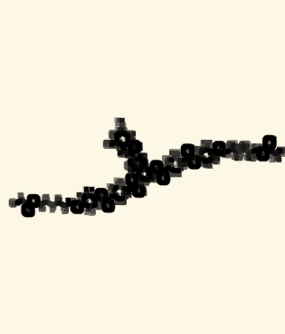 C=CC(=O)OCCCCCCOc1ccc(OC(=O)C2CCC(C(=O)Oc3ccc(OC(=O)C4CCC(C(=O)Oc5ccc(OCCCCCCOC(=O)C=C)cc5)CC4)c4c3SC(c3cc5c(C)cc(C)cc5o3)S4)CC2)cc1